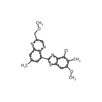 COCc1cnc2c(-c3nc4c(Cl)c(C)c(OC)cc4s3)cc(C)cc2n1